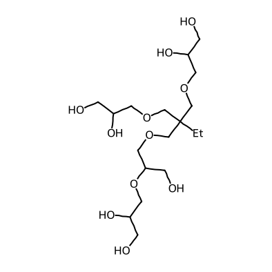 CCC(COCC(O)CO)(COCC(O)CO)COCC(CO)OCC(O)CO